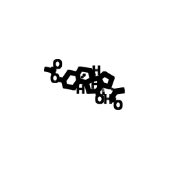 C=C(C=O)[C@H]1CC[C@H]2[C@@H]3CCC4CC(OC(C)=O)CC[C@]4(C)[C@H]3CC(O)[C@]12C